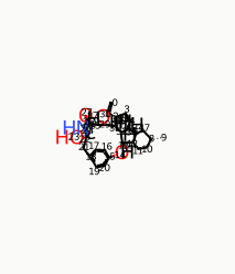 C=C[C@H]1C=C[C@H]2[C@@H]3C[C@H](C)CC[C@H]3[C@@H]3Oc4ccc(cc4)C[C@@]4(O)C[C@H](C(=O)N4)C(=O)[C@@H]1[C@H]23